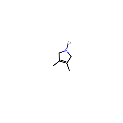 CC(=O)N1CC(C)=C(C)C1